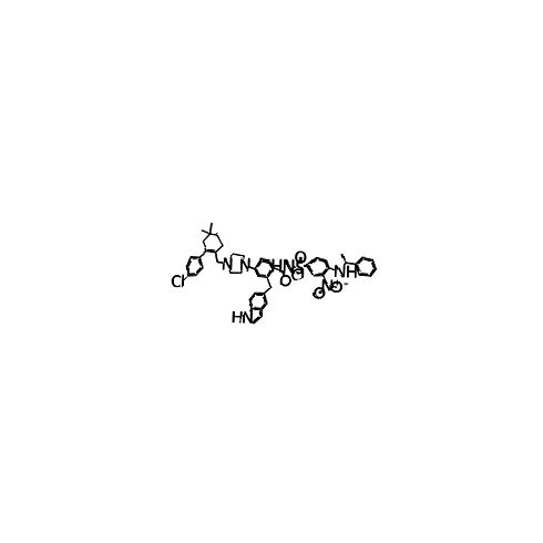 C[C@H](Nc1ccc(S(=O)(=O)NC(=O)c2ccc(N3CCN(CC4=C(c5ccc(Cl)cc5)CC(C)(C)CC4)CC3)cc2Cc2ccc3[nH]ccc3c2)cc1[N+](=O)[O-])c1ccccc1